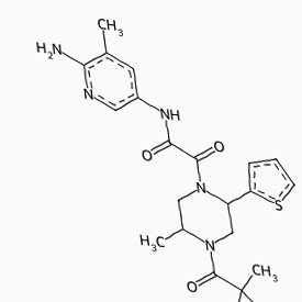 Cc1cc(NC(=O)C(=O)N2CC(C)N(C(=O)C3(C)CC3)CC2c2cccs2)cnc1N